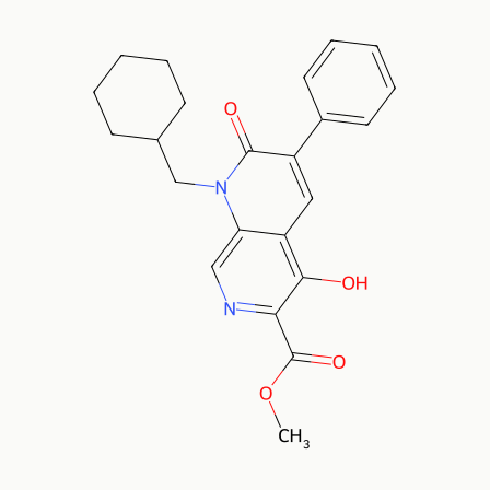 COC(=O)c1ncc2c(cc(-c3ccccc3)c(=O)n2CC2CCCCC2)c1O